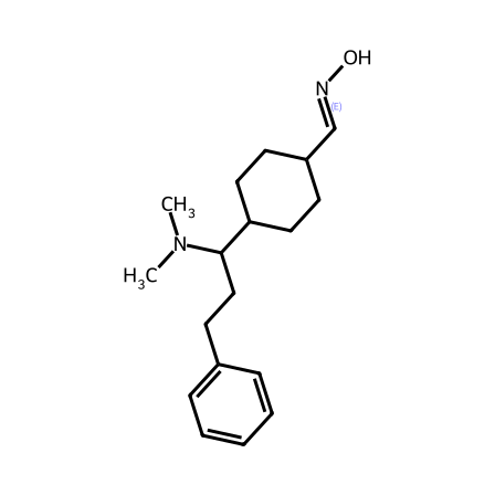 CN(C)C(CCc1ccccc1)C1CCC(/C=N/O)CC1